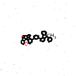 CC1(c2ccccc2)c2ccccc2-c2c(-c3cccc(-c4ccc5c(c4)C4(c6ccccc6O5)c5ccccc5-c5ccccc54)c3)cccc21